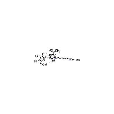 CCCCCC/C=C/CCCCC/C=C/[C@@H](O)[C@H](CO[C@@H]1OC(CO)[C@@H](O)[C@@H](O)C1O)NC(=O)[C@@H](C)O